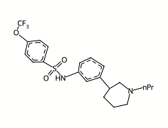 CCCN1CCCC(c2cccc(NS(=O)(=O)c3ccc(OC(F)(F)F)cc3)c2)C1